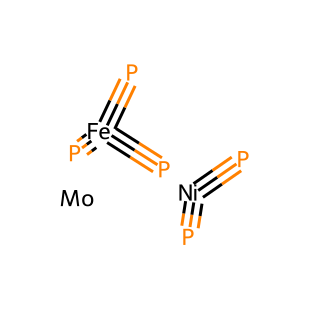 [Mo].[P]#[Fe](#[P])#[P].[P]#[Ni]#[P]